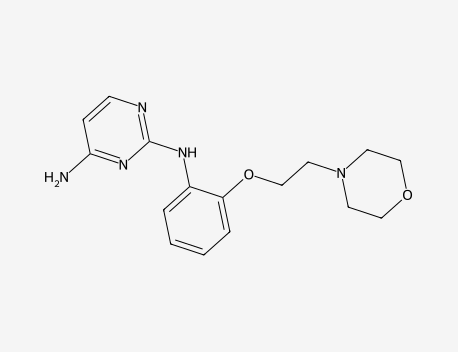 Nc1ccnc(Nc2ccccc2OCCN2CCOCC2)n1